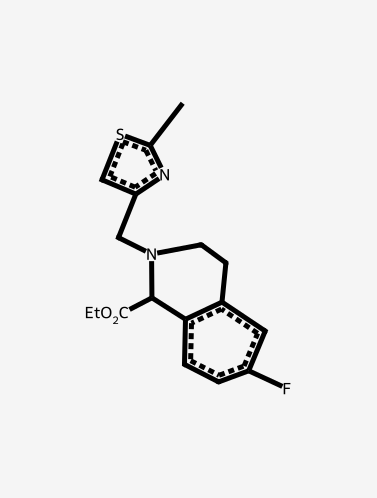 CCOC(=O)C1c2ccc(F)cc2CCN1Cc1csc(C)n1